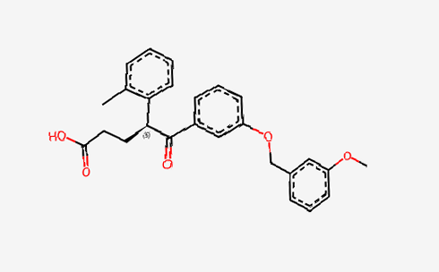 COc1cccc(COc2cccc(C(=O)[C@@H](CCC(=O)O)c3ccccc3C)c2)c1